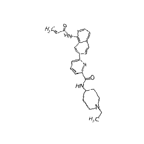 C=CC(=O)Nc1cccc2ccc(-c3cccc(C(=O)NC4CCN(CC)CC4)n3)cc12